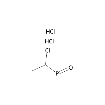 CC(Cl)P=O.Cl.Cl